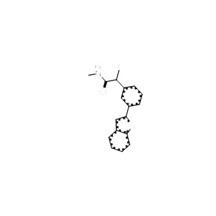 CNC(=O)C(C)c1cccc(-c2cc3ccccc3s2)c1